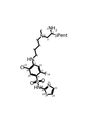 CCC[C@H](C)[C@H](N)CN(C)CCCCNc1cc(F)c(S(=O)(=O)Nc2nccs2)cc1Cl